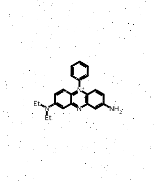 CCN(CC)c1ccc2c(c1)nc1cc(N)ccc1[n+]2-c1ccccc1